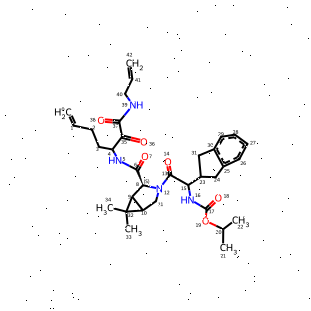 C=CCCC(NC(=O)[C@@H]1C2C(CN1C(=O)C(NC(=O)OC(C)C)C1Cc3ccccc3C1)C2(C)C)C(=O)C(=O)NCC=C